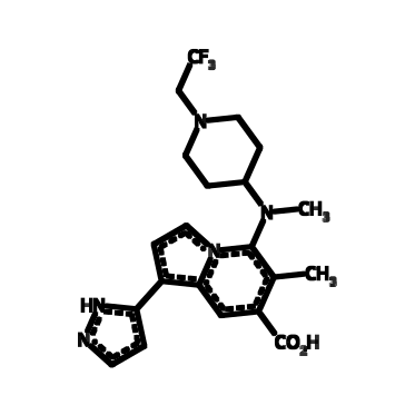 Cc1c(C(=O)O)cc2c(-c3ccn[nH]3)ccn2c1N(C)C1CCN(CC(F)(F)F)CC1